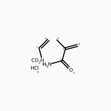 C=C(C)C(N)=O.C=CC(=O)O.Cl